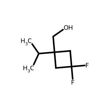 CC(C)C1(CO)CC(F)(F)C1